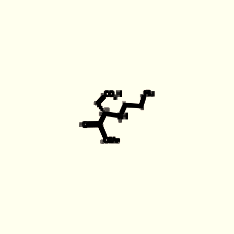 COC(=O)[C@H](CC(=O)O)NCCC(C)(C)C